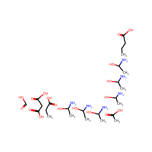 CC(=O)O.CC(N)O.CC(N)O.CC(N)O.CC(N)O.CC(N)O.CC(N)O.CCC(=O)O.CCCC(=O)O.O=C(O)CC(=O)O.O=CO